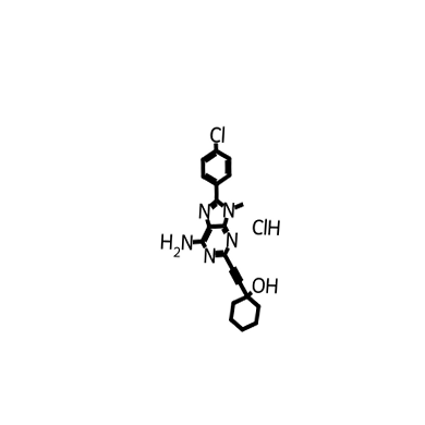 Cl.Cn1c(-c2ccc(Cl)cc2)nc2c(N)nc(C#CC3(O)CCCCC3)nc21